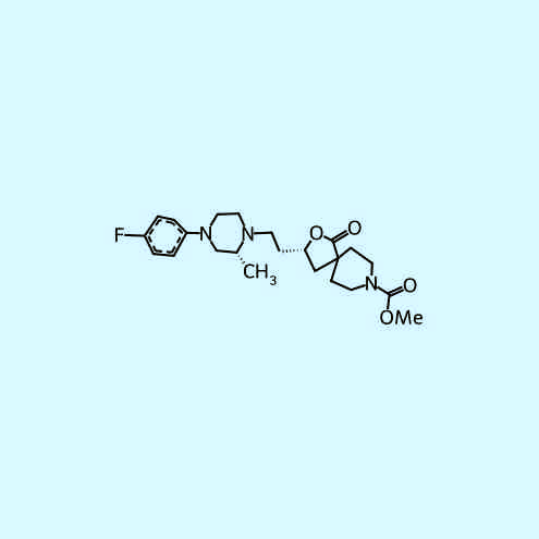 COC(=O)N1CCC2(CC1)C[C@H](CCN1CCN(c3ccc(F)cc3)C[C@H]1C)OC2=O